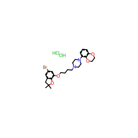 CC1(C)Cc2cc(Br)cc(OCCCCN3CCN(c4cccc5c4OCCO5)CC3)c2O1.Cl.Cl